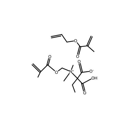 C=C(C)C(=O)OC[N+](C)(C)C(CC)(C(=O)[O-])C(=O)O.C=CCOC(=O)C(=C)C